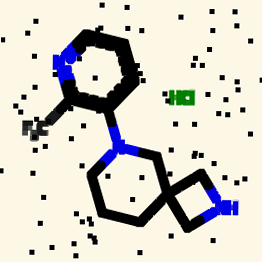 Cl.FC(F)(F)c1ncccc1N1CCCC2(CNC2)C1